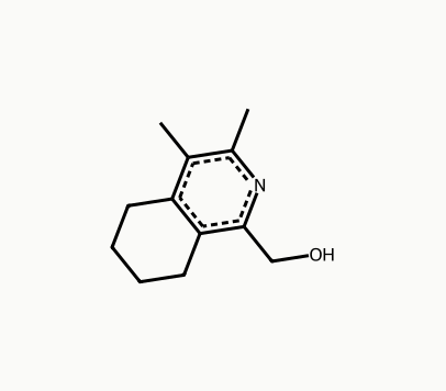 Cc1nc(CO)c2c(c1C)CCCC2